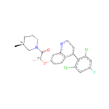 C[C@H]1CCCN(C(=O)[C@@H](C)Oc2ccc3c(-c4c(Cl)cc(F)cc4Cl)ccnc3c2)C1